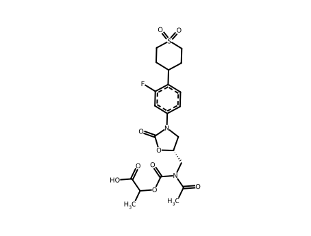 CC(=O)N(C[C@H]1CN(c2ccc(C3CCS(=O)(=O)CC3)c(F)c2)C(=O)O1)C(=O)OC(C)C(=O)O